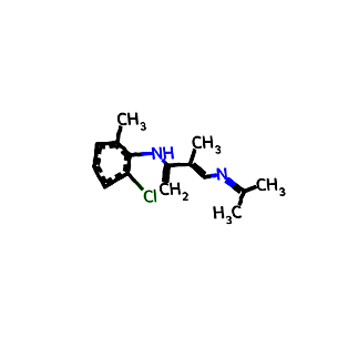 C=C(Nc1c(C)cccc1Cl)/C(C)=C/N=C(C)C